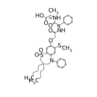 CCCCC1(CCCC)CN(c2ccccc2)c2cc(SC)c(OCC(=O)N[C@@H](C(=O)N[C@@H](C)C(=O)O)c3ccccc3)cc2S(=O)(=O)C1